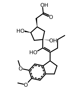 CCCC(=C(O)[C@]1(O)C[C@H](CC(=O)O)[C@H](O)C1)C1CCc2cc(OC)c(OC)cc21